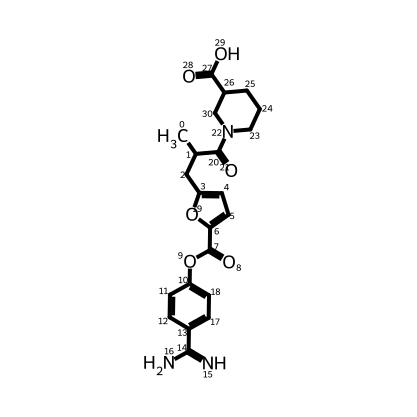 CC(Cc1ccc(C(=O)Oc2ccc(C(=N)N)cc2)o1)C(=O)N1CCCC(C(=O)O)C1